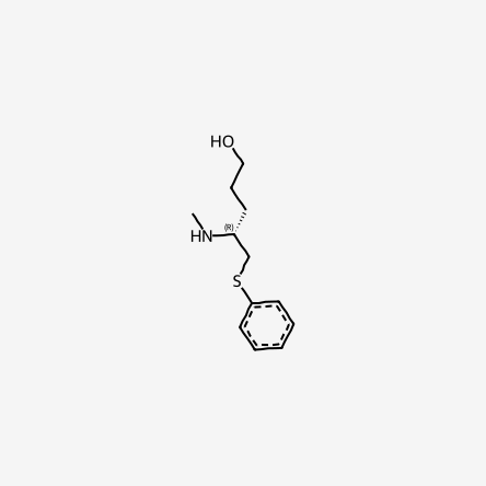 CN[C@H](CCCO)CSc1ccccc1